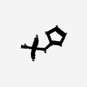 [O]=[W](=[O])([OH])[O]C1=CC=CC1